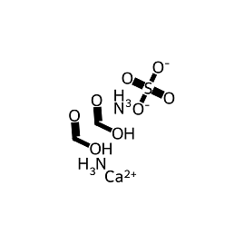 N.N.O=CO.O=CO.O=S(=O)([O-])[O-].[Ca+2]